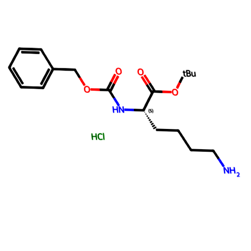 CC(C)(C)OC(=O)[C@H](CCCCN)NC(=O)OCc1ccccc1.Cl